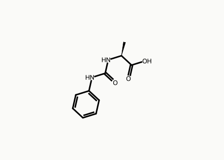 C[C@H](NC(=O)Nc1ccccc1)C(=O)O